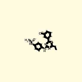 CCc1nc(Nc2ccc(N[S+](N)[O-])cc2)nc(-c2cccc(Cl)c2)n1